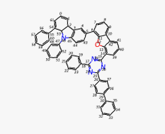 C1=CC2c3cc(-c4cccc5c4oc4c(-c6nc(-c7ccccc7)nc(-c7ccc(-c8ccccc8)cc7)n6)cccc45)ccc3N(c3ccccc3)C2C(c2ccccc2)=C1